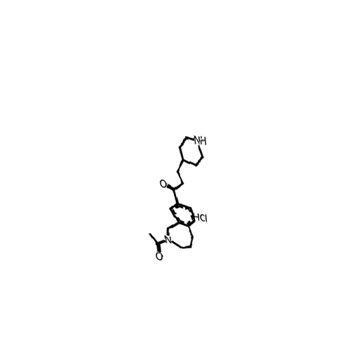 CC(=O)N1CCCc2ccc(C(=O)CCC3CCNCC3)cc2C1.Cl